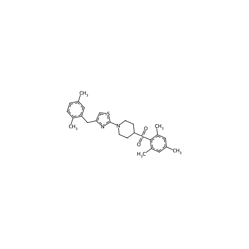 Cc1cc(C)c(S(=O)(=O)C2CCN(c3nc(Cc4cc(C)ccc4C)cs3)CC2)c(C)c1